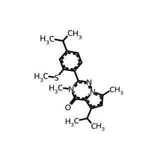 CSc1cc(C(C)C)ccc1-c1nn2c(C)cc(C(C)C)c2c(=O)n1C